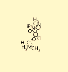 Cc1nccc2c3cc(Cl)c(OCC(C)CC(C)N)cc3c(=O)n(C(C)C)c12